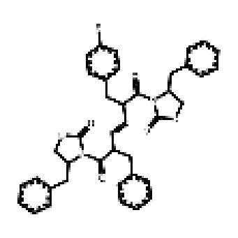 O=C1OCC(Cc2ccccc2)N1C(=O)C(C=CC(Cc1ccc(F)cc1)C(=O)N1C(=O)OCC1Cc1ccccc1)Cc1ccccc1